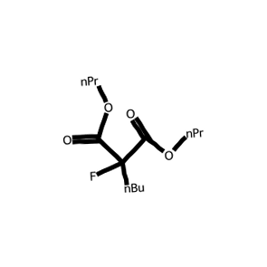 CCCCC(F)(C(=O)OCCC)C(=O)OCCC